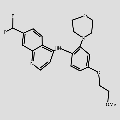 COCCOc1ccc(Nc2ccnc3cc(C(F)F)ccc23)c(N2CCOCC2)c1